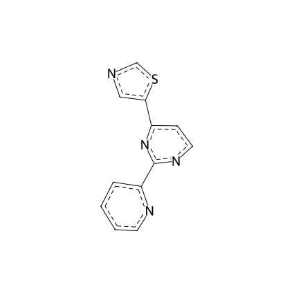 c1ccc(-c2nccc(-c3cncs3)n2)nc1